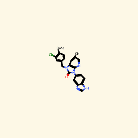 COc1ccc(Cn2c(=O)n(-c3ccc4[nH]cnc4c3)c3ncc(C#N)cc32)cc1Cl